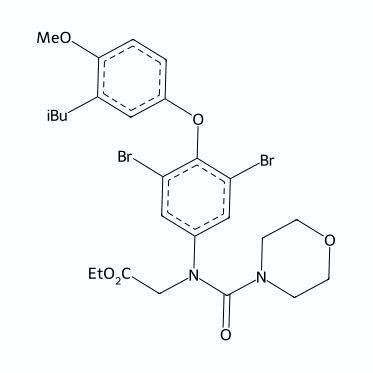 CCOC(=O)CN(C(=O)N1CCOCC1)c1cc(Br)c(Oc2ccc(OC)c(C(C)CC)c2)c(Br)c1